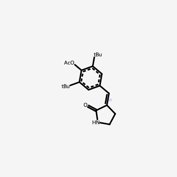 CC(=O)Oc1c(C(C)(C)C)cc(/C=C2/CCNC2=O)cc1C(C)(C)C